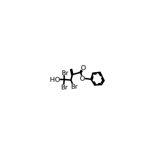 C=C(C(=O)Oc1ccccc1)C(Br)C(O)(Br)Br